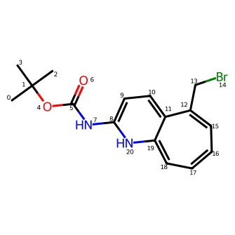 CC(C)(C)OC(=O)NC1=CC=C2C(CBr)=CC=CC=C2N1